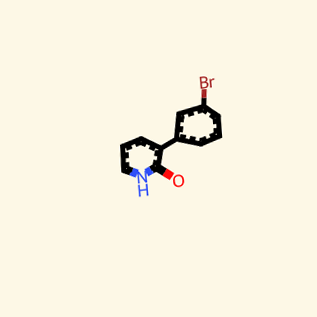 O=c1[nH]cccc1-c1cccc(Br)c1